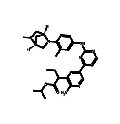 CCC(C(=O)OC(C)C)c1cc(-c2ccnc(Nc3ccc(N4C[C@@H]5C[C@H]4CN5C)c(C)c3)n2)cnc1N